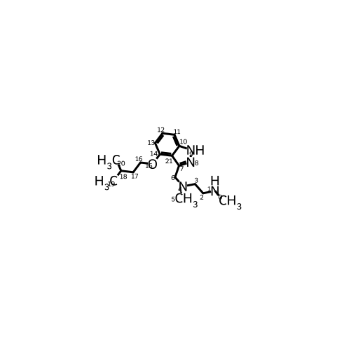 CNCCN(C)Cc1n[nH]c2cccc(OCCC(C)C)c12